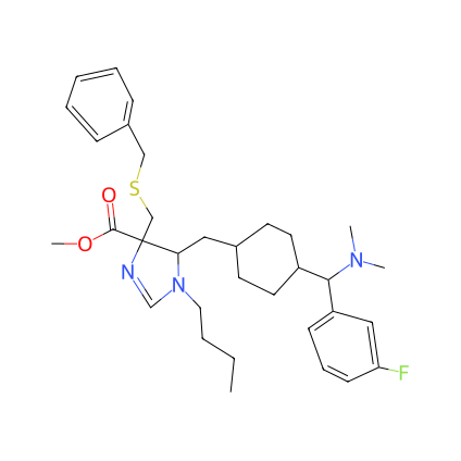 CCCCN1C=NC(CSCc2ccccc2)(C(=O)OC)C1CC1CCC(C(c2cccc(F)c2)N(C)C)CC1